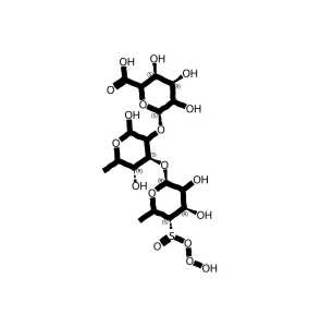 CC1OC(O)C(O[C@H]2OC(C(=O)O)[C@@H](O)[C@@H](O)C2O)[C@@H](O[C@@H]2OC(C)[C@@H](S(=O)OOO)[C@H](O)C2O)[C@@H]1O